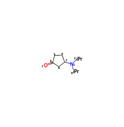 CC(C)N(C(C)C)C1CCC(=O)C1